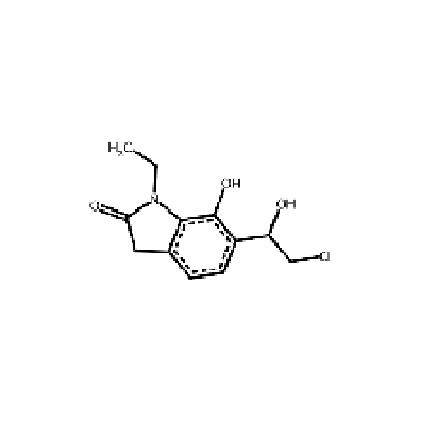 CCN1C(=O)Cc2ccc(C(O)CCl)c(O)c21